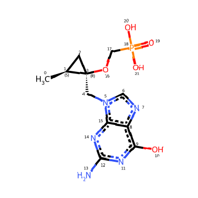 C[C@H]1C[C@@]1(Cn1cnc2c(O)nc(N)nc21)OCP(=O)(O)O